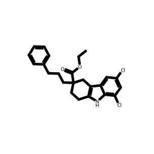 CCOC(=O)C1(CCCc2ccccc2)CCc2[nH]c3c(Cl)cc(Cl)cc3c2C1